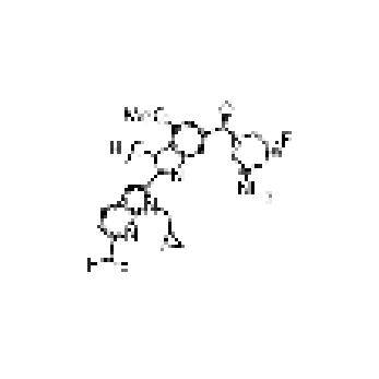 COc1cc(C(=O)N2C[C@H](N)C[C@@H](F)C2)cc2c1C(C)C(c1cc3ccc(C(F)F)nc3n1CC1CC1)=N2